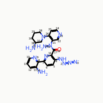 [N-]=[N+]=NNc1ccc(-c2ncccc2N)nc1C(=O)N(N)c1cnccc1N1CCC[C@H](N)C1